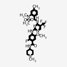 COc1cc(C(=O)NC2CCN(C)CC2)c(F)cc1Nc1ncc(C(F)(F)F)c(NCc2ccc(C)cc2N(C)S(C)(=O)=O)n1